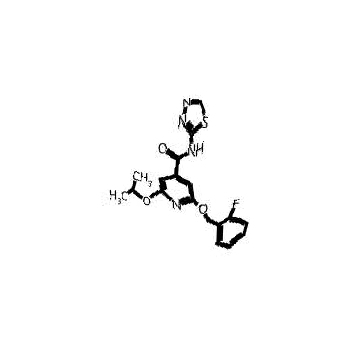 CC(C)Oc1cc(C(=O)Nc2nncs2)cc(OCc2ccccc2F)n1